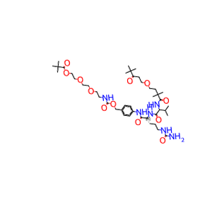 CC(C)C(NC(=O)C(C)(C)CCOCCC(=O)C(C)(C)C)C(=O)N[C@H](CCCNC(N)=O)C(=O)Nc1ccc(COC(=O)NCCOCCOCCOC(=O)C(C)(C)C)cc1